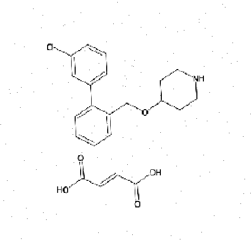 Clc1cccc(-c2ccccc2COC2CCNCC2)c1.O=C(O)C=CC(=O)O